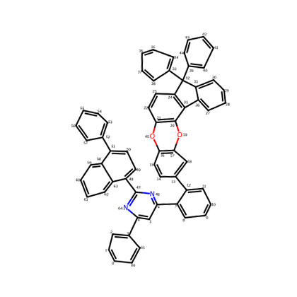 c1ccc(-c2cc(-c3ccccc3-c3ccc4c(c3)Oc3c(ccc5c3-c3ccccc3C5(c3ccccc3)c3ccccc3)O4)nc(-c3ccc(-c4ccccc4)c4ccccc34)n2)cc1